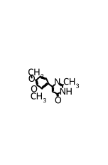 COc1ccc(-c2cc(=O)[nH]c(C)n2)cc1OC